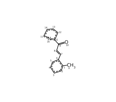 Cc1ccccc1C=CC(=O)c1ccccn1